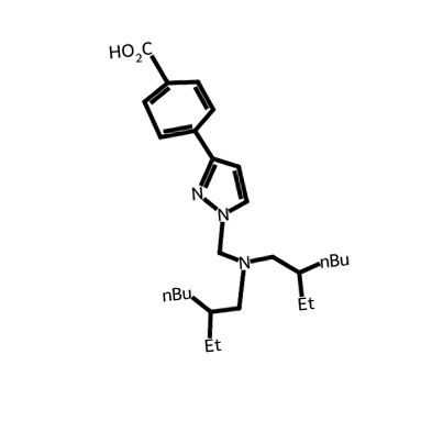 CCCCC(CC)CN(CC(CC)CCCC)Cn1ccc(-c2ccc(C(=O)O)cc2)n1